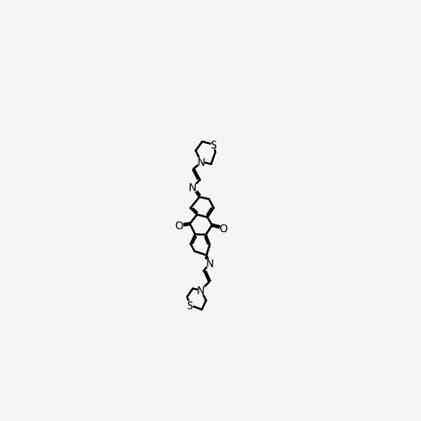 O=C1C2=CCC(=NC=CN3CCSCC3)C=C2C(=O)C2=CCC(=NC=CN3CCSCC3)C=C12